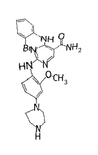 COc1cc(N2CCNCC2)ccc1Nc1ncc(C(N)=O)c(Nc2ccccc2Br)n1